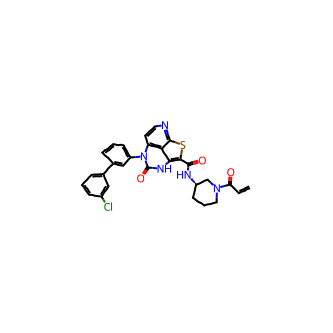 C=CC(=O)N1CCC[C@@H](NC(=O)c2sc3nccc4c3c2NC(=O)N4c2cccc(-c3cccc(Cl)c3)c2)C1